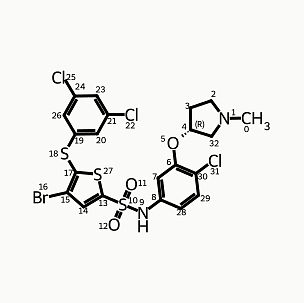 CN1CC[C@@H](Oc2cc(NS(=O)(=O)c3cc(Br)c(Sc4cc(Cl)cc(Cl)c4)s3)ccc2Cl)C1